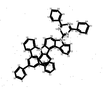 c1ccc(-c2cc(-c3ccccc3)cc(-c3ccccc3-n3c4ccccc4c4c5c6ccccc6n(-c6nc(-c7ccccc7)nc(-c7ccccc7)n6)c5ccc43)c2)cc1